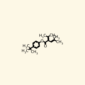 CC(C)=CC(C(=O)Oc1ccc(C(C)(C)C)cc1)=C(C)C